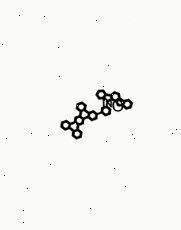 c1cc(-c2ccc3c(c2)c2ccccc2c2cc4c5ccccc5c5ccccc5c4cc32)cc(-n2c3ccccc3c3ccc4c5ccccc5oc4c32)c1